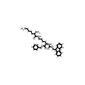 NCCCCC(N)C(=O)NCCCCC(NC(=O)OCC1c2ccccc2-c2ccccc21)C(=O)OCc1ccccc1